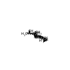 C#CN(CCC)CCCOc1cc2ncnc(Nc3cc(CC(=O)Nc4cc(F)cc(F)c4)[nH]n3)c2cc1OC